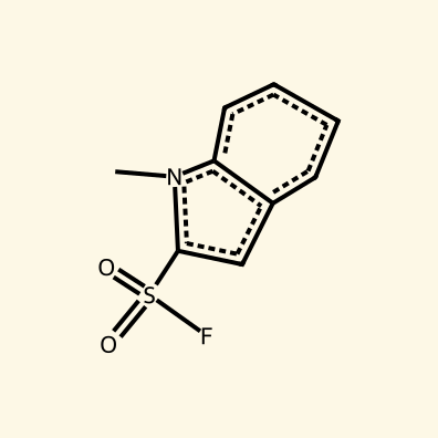 Cn1c(S(=O)(=O)F)cc2ccccc21